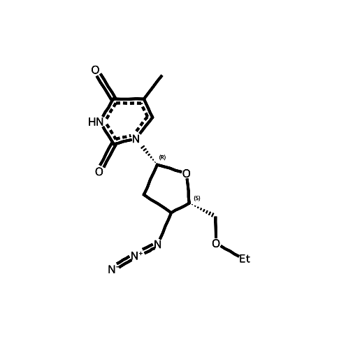 CCOC[C@H]1O[C@@H](n2cc(C)c(=O)[nH]c2=O)CC1N=[N+]=[N-]